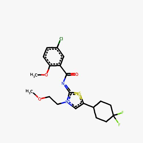 COCCn1cc(C2CCC(F)(F)CC2)sc1=NC(=O)c1cc(Cl)ccc1OC